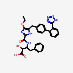 CCOc1nc(C(=O)NC(Cc2ccccc2)C(O)C(=O)O)[nH]c1Cc1ccc(-c2ccccc2-c2nnn[nH]2)cc1